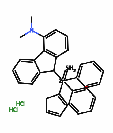 CN(C)c1cccc2c1-c1ccccc1[CH]2[Zr](=[SiH2])([C]1=CC=CC1)([c]1ccccc1)[c]1ccccc1.Cl.Cl